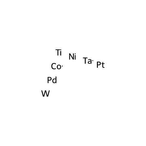 [Co].[Ni].[Pd].[Pt].[Ta].[Ti].[W]